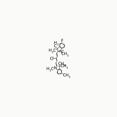 Cc1ccc2c(c1)C(C)(C)\C(=C/C=C(Cl)/C=C/C1=[N+](C)c3ccc(F)cc3C1(C)C)N2C